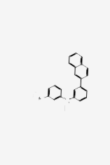 COc1cccc(Nc2cccc(-c3ccc4ccccc4c3)c2)c1